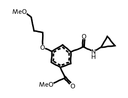 COCCCOc1cc(C(=O)NC2CC2)cc(C(=O)OC)c1